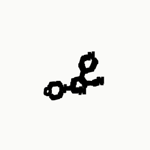 N#Cc1ncc(N2CCOCC2)cc1-c1ccncc1